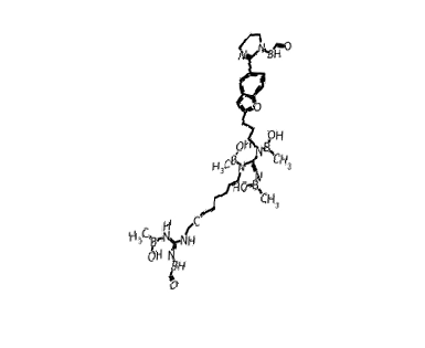 CB(O)/N=C(\N(CCCCCCCCN/C(=N\BC=O)NB(C)O)B(C)O)N(CCCc1cc2cc(C3=NCCCN3BC=O)ccc2o1)B(C)O